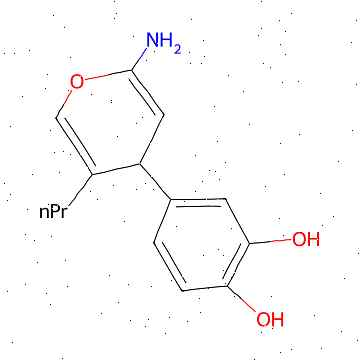 CCCC1=COC(N)=CC1c1ccc(O)c(O)c1